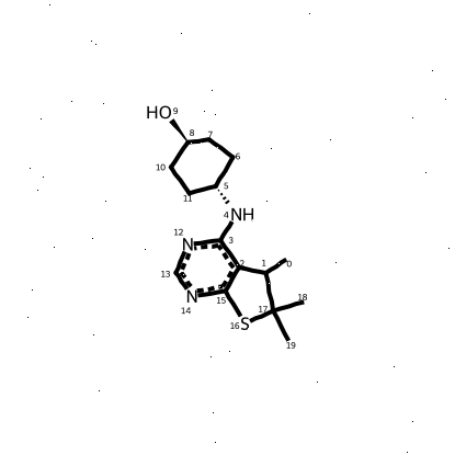 CC1c2c(N[C@H]3CC[C@H](O)CC3)ncnc2SC1(C)C